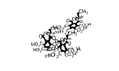 C=CCOC(=O)c1c(C(=O)O)c(C(=O)O)c(C(=O)O)c(C(=O)O)c1C(=O)OC.C=CCOC(=O)c1c(C(=O)O)c(C(=O)O)c(C(=O)O)c(C(=O)O)c1C(=O)OC.C=CCOC(=O)c1c(C(=O)O)c(C(=O)O)c(C(=O)O)c(C(=O)O)c1C(=O)OC